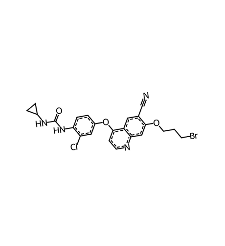 N#Cc1cc2c(Oc3ccc(NC(=O)NC4CC4)c(Cl)c3)ccnc2cc1OCCCBr